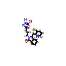 O=C1c2ccccc2C(Cc2ncccc2Br)N1C/C=C/c1n[nH]c(=O)o1